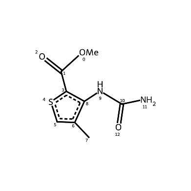 COC(=O)c1scc(C)c1NC(N)=O